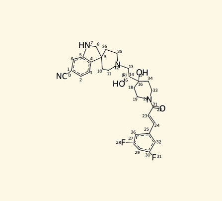 N#Cc1ccc2c(c1)NCC21CCN(C[C@@H](O)C2(O)CCN(C(=O)C=Cc3cc(F)cc(F)c3)CC2)CC1